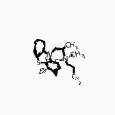 C=CC[N+](C)(C)C(C)CN1c2ccccc2Sc2ccccc21.[Br-]